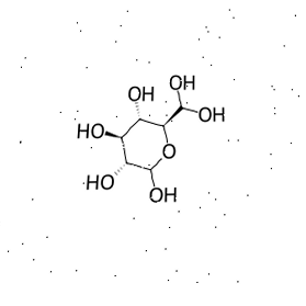 OC(O)[C@H]1OC(O)[C@H](O)[C@@H](O)[C@@H]1O